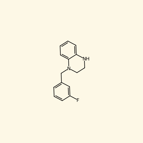 Fc1cccc(CN2CCNc3ccccc32)c1